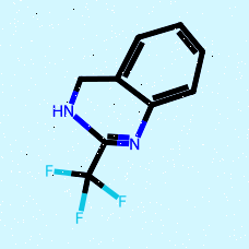 FC(F)(F)C1=Nc2ccccc2CN1